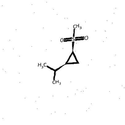 CC(C)[C@@H]1C[C@@H]1S(C)(=O)=O